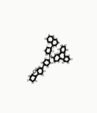 c1cc(-c2cccc3ccccc23)cc(N(c2ccc(-c3ccc4c(c3)oc3ccccc34)cc2)c2ccc3c4ccccc4c4ccccc4c3c2)c1